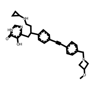 COC1CN(Cc2ccc(C#Cc3ccc(C(CCNC4CC4)Cc4nc[nH]c(=O)c4O)cc3)cc2)C1